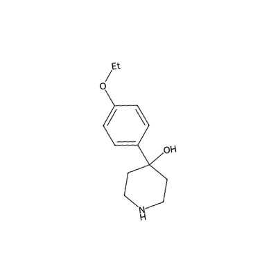 CCOc1ccc(C2(O)CCNCC2)cc1